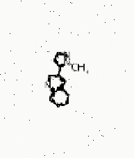 Cn1nc[c]c1-c1cnc2ccccc2c1